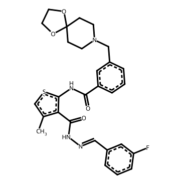 Cc1csc(NC(=O)c2cccc(CN3CCC4(CC3)OCCO4)c2)c1C(=O)N/N=C/c1cccc(F)c1